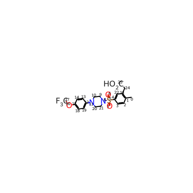 Cc1ccc(S(=O)(=O)N2CCN(c3ccc(OC(F)(F)F)cc3)CC2)cc1CC(=O)O